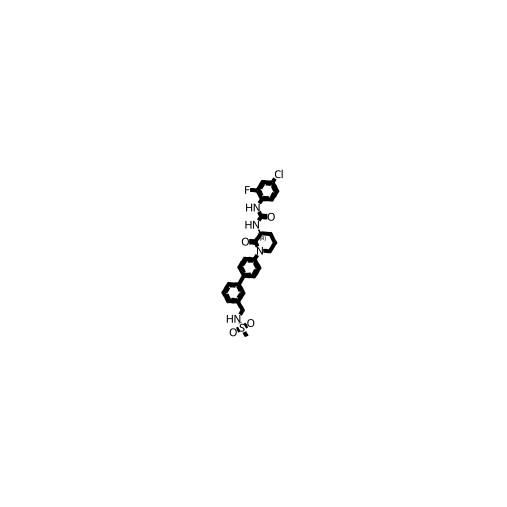 CS(=O)(=O)NCc1cccc(-c2ccc(N3CCC[C@@H](NC(=O)Nc4ccc(Cl)cc4F)C3=O)cc2)c1